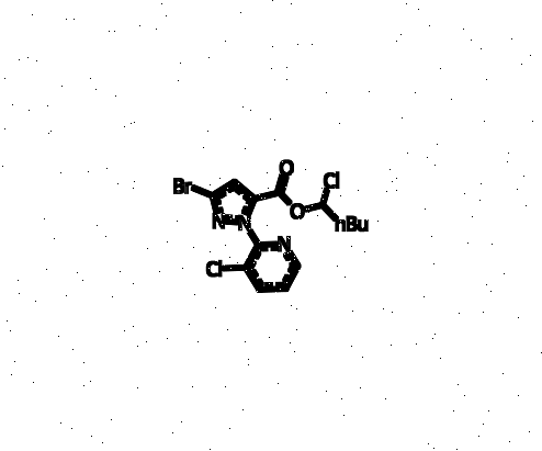 CCCCC(Cl)OC(=O)c1cc(Br)nn1-c1ncccc1Cl